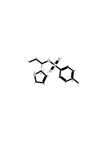 CCC(OS(=O)(=O)c1ccc(C)cc1)[C@@H]1C=CCO1